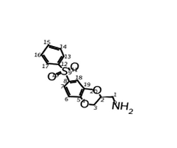 NC[C@H]1COc2ccc(S(=O)(=O)c3ccccc3)cc2O1